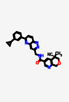 C[C@@]1(C#N)COCc2ncc(C(=O)NCc3cc4nc(-c5cccc(C6CC6)c5)ccc4nn3)cc21